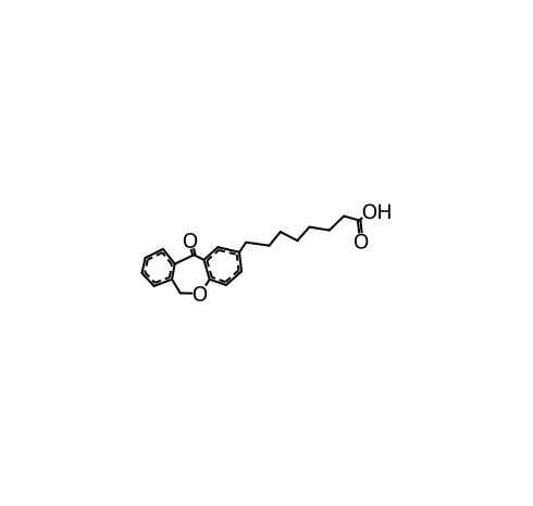 O=C(O)CCCCCCCc1ccc2c(c1)C(=O)c1ccccc1CO2